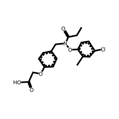 CCC(=O)N(Cc1ccc(OCC(=O)O)cc1)Oc1ccc(Cl)cc1C